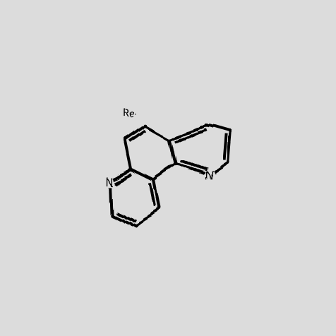 [Re].c1cnc2c(c1)ccc1ncccc12